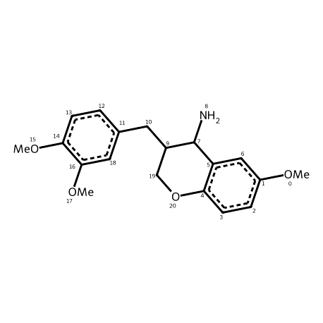 COc1ccc2c(c1)C(N)C(Cc1ccc(OC)c(OC)c1)CO2